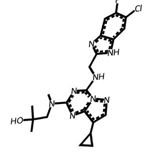 CN(CC(C)(C)O)c1nc(NCc2nc3cc(F)c(Cl)cc3[nH]2)n2ncc(C3CC3)c2n1